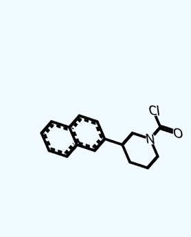 O=C(Cl)N1CCCC(c2ccc3ccccc3c2)C1